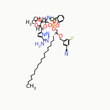 CCCCCCCCCCCCCCCCCC[C@H](COP(=O)(OC[C@@]1(/C=N\C)O[C@@H](c2ccc3c(N)ncnn23)[C@@H]2OC(C)(C)O[C@@H]21)Oc1ccccc1Cl)OCc1cc(F)cc(C#N)c1